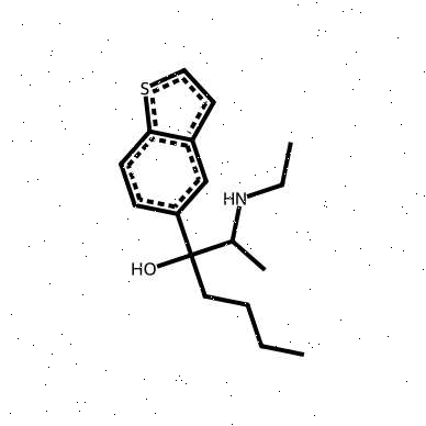 CCCCC(O)(c1ccc2sccc2c1)C(C)NCC